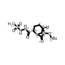 CCCCON1C(=O)N2C[C@@H]1CC[C@H]2C(=O)NNS(C)(=O)=O